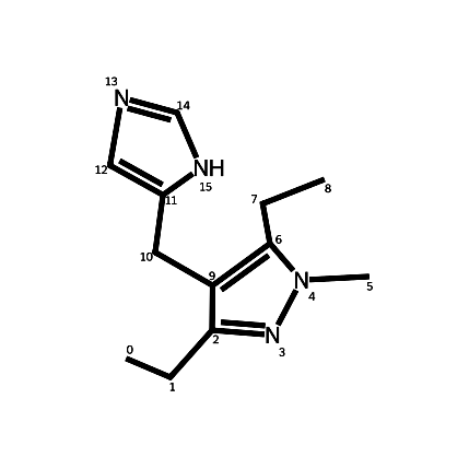 CCc1nn(C)c(CC)c1Cc1cnc[nH]1